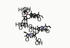 C=CC1=C(C)/C(=C/c2[nH]c(Cc3[nH]c(/C=C4\NC(=O)C(C)=C4C=C)c(C)c3CCC(=O)O)c(CCC(=O)O)c2C)NC1=O.CCC1=C(C)C(Cc2[nH]c(Cc3[nH]c(CC4NC(=O)C(C)=C4CC)c(C)c3CCC(=O)O)c(CCC(=O)O)c2C)NC1=O